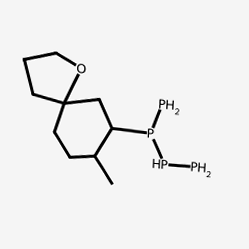 CC1CCC2(CCCO2)CC1P(P)PP